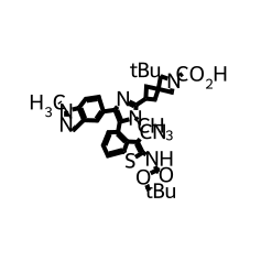 Cn1c(C2CC3(C2)CN(C(=O)O)C3C(C)(C)C)nc(-c2ccc3c(cnn3C)c2)c1-c1cccc2sc(NC(=O)OC(C)(C)C)c(C#N)c12